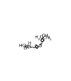 CC(C)(C)c1ccc(CCOc2ccc(CCCNCCC(=O)O)cc2)cc1